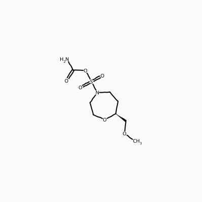 COC[C@@H]1CCN(S(=O)(=O)OC(N)=O)CCO1